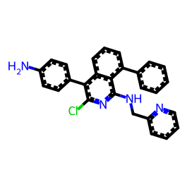 Nc1ccc(-c2c(Cl)nc(NCc3ccccn3)c3c(-c4ccccc4)cccc23)cc1